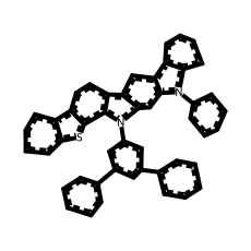 c1ccc(-c2cc(-c3ccccc3)cc(-n3c4cc5c(cc4c4ccc6c7ccccc7sc6c43)c3ccccc3n5-c3ccccc3)c2)cc1